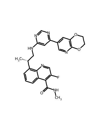 CNC(=O)c1c(F)cnc2c([C@H](C)CNc3cc(-c4cnc5c(c4)OCCO5)ncn3)cccc12